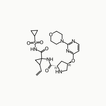 C=CC1CC1(NC(=O)[C@@H]1C[C@@H](Oc2ccnc(N3CCOCC3)n2)CN1)C(=O)NS(=O)(=O)C1CC1